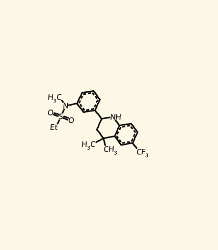 CCS(=O)(=O)N(C)c1cccc(C2CC(C)(C)c3cc(C(F)(F)F)ccc3N2)c1